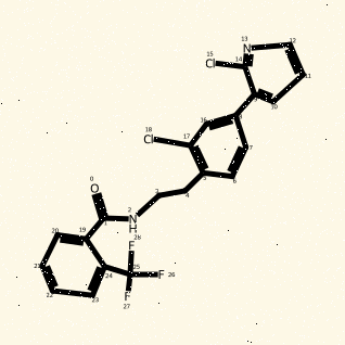 O=C(NCCc1ccc(-c2cccnc2Cl)cc1Cl)c1ccccc1C(F)(F)F